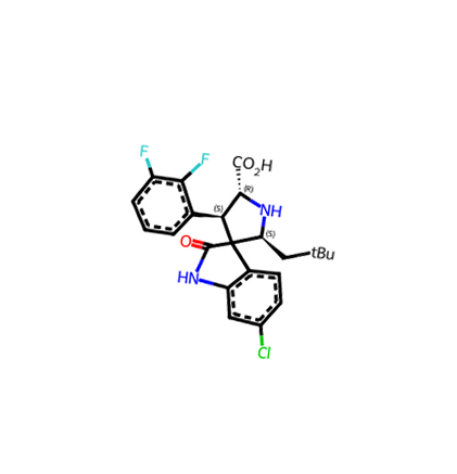 CC(C)(C)C[C@@H]1N[C@@H](C(=O)O)[C@H](c2cccc(F)c2F)C12C(=O)Nc1cc(Cl)ccc12